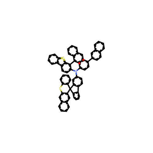 c1ccc2c(c1)Sc1cc3ccccc3cc1C21c2ccccc2-c2ccc(N(c3ccc(-c4ccc5ccccc5c4)cc3)c3ccc4c(sc5ccccc54)c3-c3cccc4ccccc34)cc21